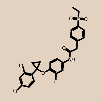 CCS(=O)(=O)c1ccc(CC(=O)Nc2ccc(OC3(c4ccc(Cl)cc4Cl)CC3)c(F)c2)cc1